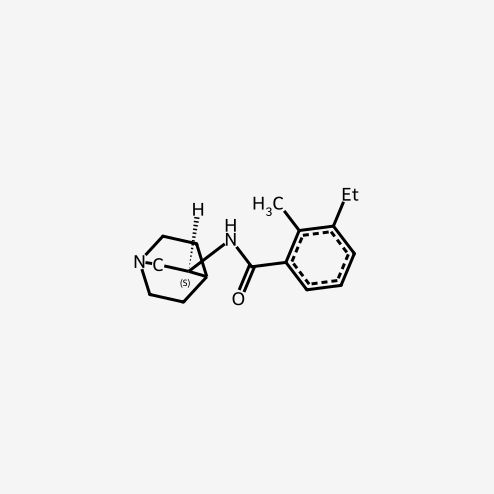 CCc1cccc(C(=O)N[C@@H]2CN3CCC2CC3)c1C